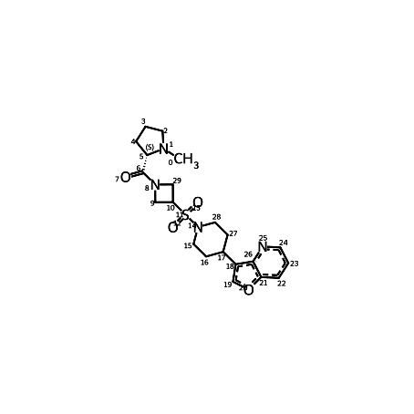 CN1CCC[C@H]1C(=O)N1CC(S(=O)(=O)N2CCC(c3coc4cccnc34)CC2)C1